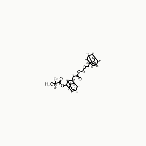 CC(F)(F)C(=O)OC1C2CC3CC(C2)C(CC(=O)OCOCC24CC5CC(CC(C5)C2)C4)C1C3